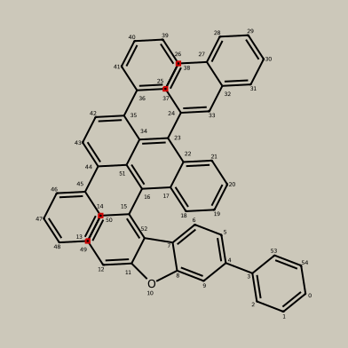 c1ccc(-c2ccc3c(c2)oc2cccc(-c4c5ccccc5c(-c5ccc6ccccc6c5)c5c(-c6ccccc6)ccc(-c6ccccc6)c45)c23)cc1